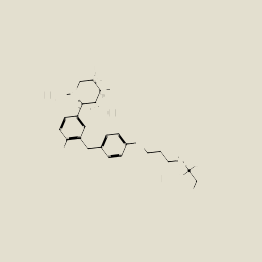 Cc1ccc(C2[C@H](O)[C@H](O)[C@H](O)C[SH]2C)cc1Cc1ccc(OCCCNC(C)(C)CO)cc1